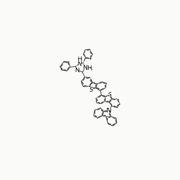 c1ccc(C2=NC(c3ccc4sc5c(-c6cccc7c6sc6cccc(-n8c9ccccc9c9ccccc98)c67)cccc5c4c3)NC(c3ccccc3)N2)cc1